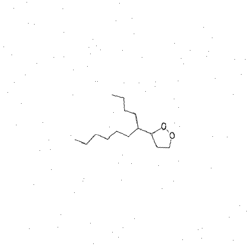 CCCCCCC(CCCC)C1CCOO1